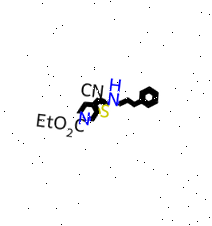 CCOC(=O)N1CCc2c(sc(NCCCc3ccccc3)c2C#N)C1